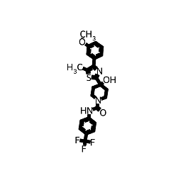 COc1cccc(-c2nc(C3(O)CCN(C(=O)Nc4ccc(C(F)(F)F)cc4)CC3)sc2C)c1